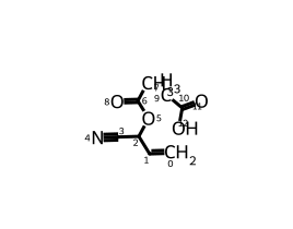 C=CC(C#N)OC(C)=O.CC(=O)O